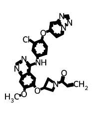 C=CC(=O)N1CC(Oc2cc3c(Nc4ccc(Oc5ccn6ncnc6c5)c(Cl)c4)ncnc3cc2OC)C1